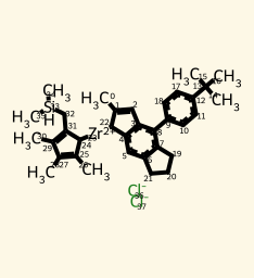 CC1=Cc2c(cc3c(c2-c2ccc(C(C)(C)C)cc2)CCC3)[CH]1[Zr+2][CH]1C(C)=C(C)C(C)=C1C[SiH](C)C.[Cl-].[Cl-]